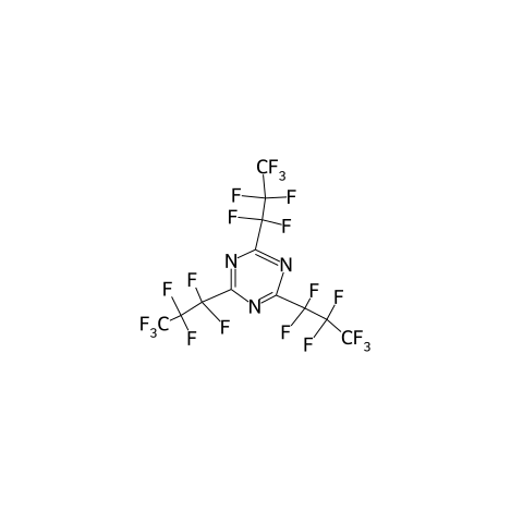 FC(F)(F)C(F)(F)C(F)(F)c1nc(C(F)(F)C(F)(F)C(F)(F)F)nc(C(F)(F)C(F)(F)C(F)(F)F)n1